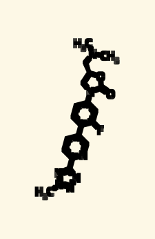 CN(C)C[C@@H]1CN(c2ccc(-c3ccc(-c4nnn(C)n4)nc3)c(F)c2)C(=O)O1